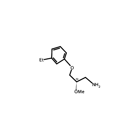 CCc1cccc(OC[C@H](CN)OC)c1